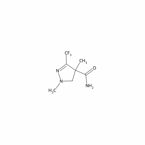 CN1CC(C)(C(N)=O)C(C(F)(F)F)=N1